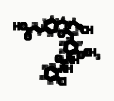 C#CCN(Cc1ccc(/C=C/C(=O)O)cc1)C(=O)Cc1ccc(NC(=O)Nc2ccccc2Cl)c(OC)c1